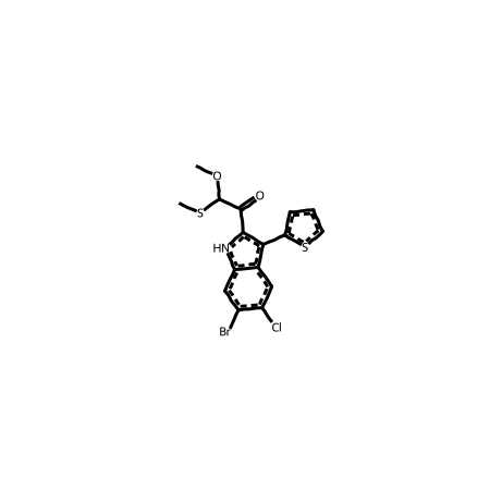 COC(SC)C(=O)c1[nH]c2cc(Br)c(Cl)cc2c1-c1cccs1